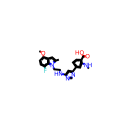 CNc1cc(-c2cc(NCCn3c(C)cc4c(OC)ccc(F)c43)ncn2)ccc1C(=O)O